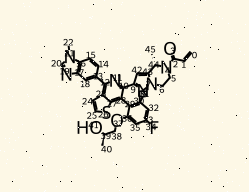 C=CC(=O)N1CCn2nc(-c3nc(-c4ccc5c(c4)ncn5C)c4ccsc4c3-c3c(F)cc(F)cc3OC[C@@H](C)O)cc2[C@@H]1C